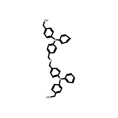 OCc1ccc(N(c2ccccc2)c2ccc(COCc3ccc(N(c4ccccc4)c4ccc(CO)cc4)cc3)cc2)cc1